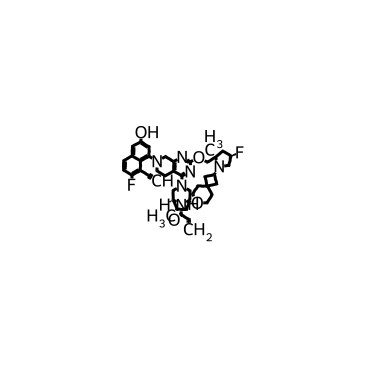 C#Cc1c(F)ccc2cc(O)cc(N3CCc4c(nc(OC[C@]5(C)C[C@@H](F)CN5C5CC6(CCOCC6)C5)nc4N4C[C@H]5CC(C)[C@@H](C4)N5C(=O)C=C)C3)c12